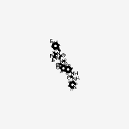 CC(N(Cc1ccc(F)cc1)C(=O)CN1CO[C@]2(C(=O)Cc3cc(NC(=O)Nc4cccnc4)ccc32)C1=O)C(F)(F)F